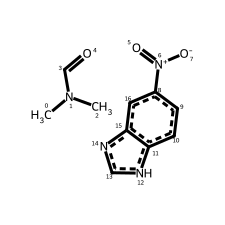 CN(C)C=O.O=[N+]([O-])c1ccc2[nH]cnc2c1